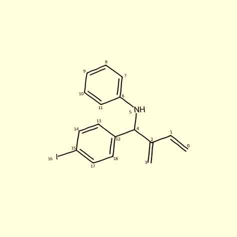 C=CC(=C)C(Nc1ccccc1)c1ccc(I)cc1